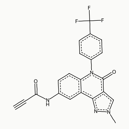 C#CC(=O)Nc1ccc2c(c1)c1nn(C)cc1c(=O)n2-c1ccc(C(F)(F)F)cc1